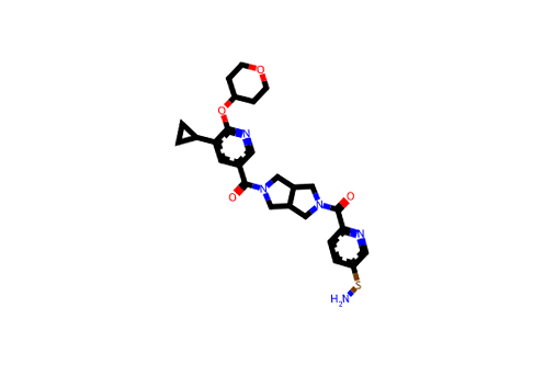 NSc1ccc(C(=O)N2CC3CN(C(=O)c4cnc(OC5CCOCC5)c(C5CC5)c4)CC3C2)nc1